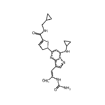 NC(=O)N/C(C=O)=C\c1cnn2c(NC3CC3)cc(C3CC=C(C(=O)NCC4CC4)S3)nc12